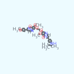 COc1ccc(C2=CN3C(=O)c4cc(OC)c(OCCCOc5cc6c(cc5OC)C(=O)N5C=C(c7ccc(NC(C)C(C)C)cc7)C[C@H]5C=N6)cc4N=C[C@@H]3C2)cc1